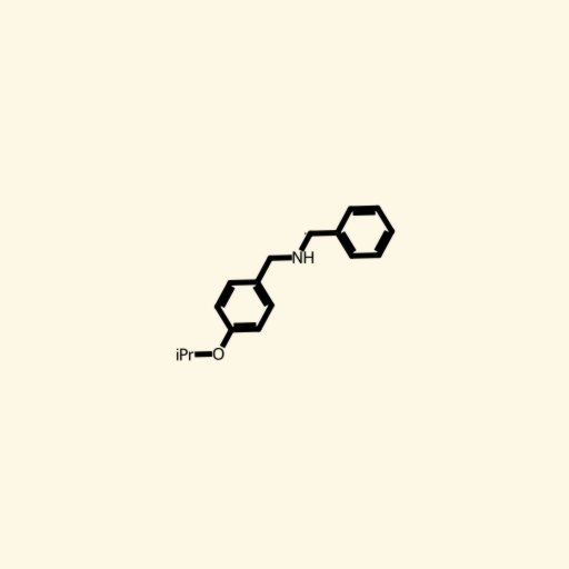 CC(C)Oc1ccc(CN[CH]c2ccccc2)cc1